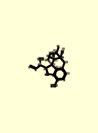 C=C[C@H](O)[C@@H]1Oc2c(O)ccc3c2[C@@]12CCN(C)[C@H](C3)[C@@H]2C